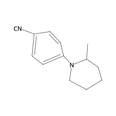 [C-]#[N+]c1ccc(N2CCCCC2C)cc1